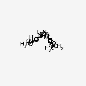 CC(C)S(=O)(=O)c1ccc(-c2cnc(N)c(-c3cc(C4=CCC(=CNS(N)(=O)=O)C=C4)no3)n2)cc1